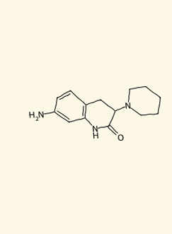 Nc1ccc2c(c1)NC(=O)C(N1CCCCC1)C2